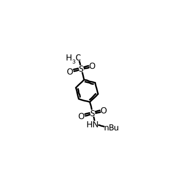 CCCCNS(=O)(=O)c1ccc(S(C)(=O)=O)cc1